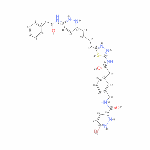 O=C(Cc1ccccc1)Nc1ccc(CCCCc2nnc(NC(=O)Cc3cccc(CNC(=O)c4ccc(Br)nn4)c3)s2)nn1